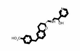 O=C(O)c1ccc(Cc2ccc3c(c2)CC[C@H](CNC[C@H](O)c2cccnc2)O3)cc1